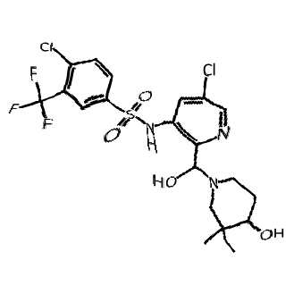 CC1(C)CN(C(O)c2ncc(Cl)cc2NS(=O)(=O)c2ccc(Cl)c(C(F)(F)F)c2)CCC1O